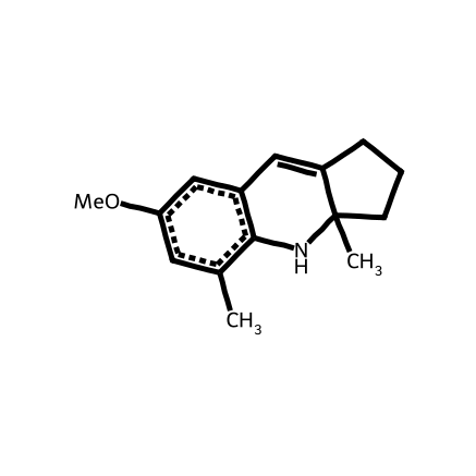 COc1cc(C)c2c(c1)C=C1CCCC1(C)N2